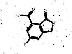 NC(=O)c1cc(F)cc2c1C(=O)NC2